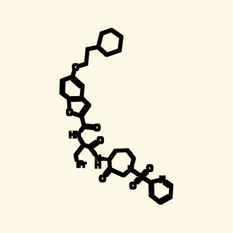 CC(C)CC(NC(=O)c1cc2cc(OCCC3CCCCC3)ccc2o1)C(=O)N[C@H]1CCCN(S(=O)(=O)c2ccccn2)CC1=O